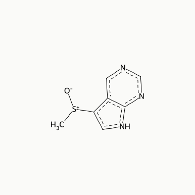 C[S+]([O-])c1c[nH]c2ncncc12